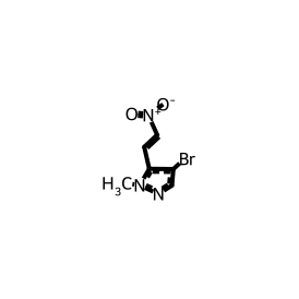 Cn1ncc(Br)c1/C=C/[N+](=O)[O-]